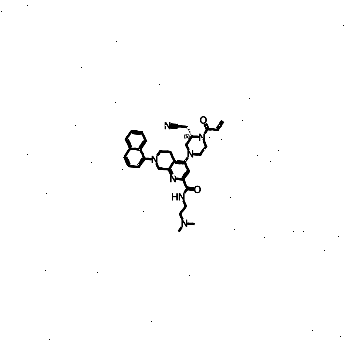 C=CC(=O)N1CCN(c2cc(C(=O)NCCN(C)C)nc3c2CCN(c2cccc4ccccc24)C3)C[C@@H]1CC#N